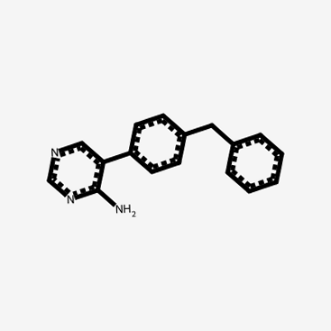 Nc1ncncc1-c1ccc(Cc2ccccc2)cc1